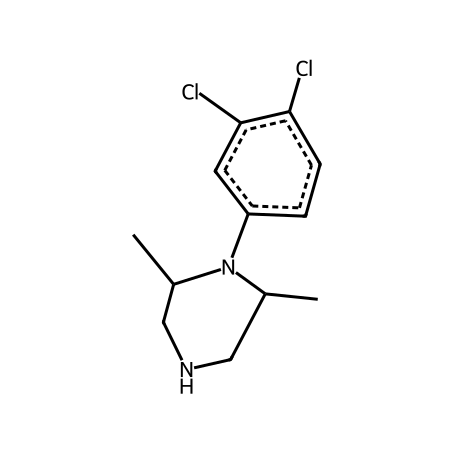 CC1CNCC(C)N1c1ccc(Cl)c(Cl)c1